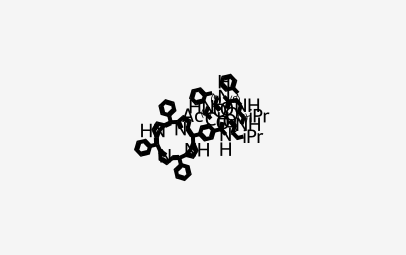 CC(=O)[C@H](C)NC(=O)[C@H](Cc1ccccc1)NC(=O)[C@H](Cc1ccccc1)NC(=O)[C@@H](NC(=O)C(CC(C)C)NC(=O)c1ccc(-c2c3nc(c(-c4ccccc4)c4ccc([nH]4)c(-c4ccccc4)c4nc(c(-c5ccccc5)c5ccc2[nH]5)C=C4)C=C3)cc1)C(C)C